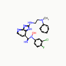 CN(CCNc1nc2nccc(C(=N)N(O)c3ccc(F)c(Cl)c3)c2[nH]1)c1ccccc1